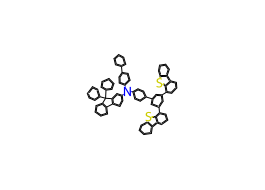 c1ccc(-c2ccc(N(c3ccc(-c4cc(-c5cccc6c5sc5ccccc56)cc(-c5cccc6c5sc5ccccc56)c4)cc3)c3ccc4c(c3)C(c3ccccc3)(c3ccccc3)c3ccccc3-4)cc2)cc1